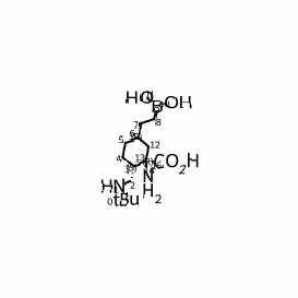 CC(C)(C)NC[C@@H]1CC[C@@H](CCB(O)O)C[C@]1(N)C(=O)O